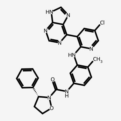 Cc1ccc(NC(=O)N2OCC[C@@H]2c2ccccc2)cc1Nc1ncc(Cl)cc1-c1ncnc2[nH]cnc12